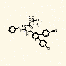 CC(C)(C)OC(=O)N/C(=N\Sc1ccccc1)NCc1cnc(-c2ccc(Cl)cc2)c(-c2ccc(C#N)cc2)c1